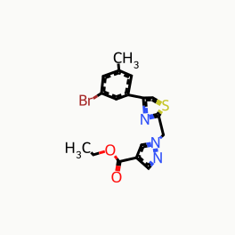 CCOC(=O)c1cnn(Cc2nc(-c3cc(C)cc(Br)c3)cs2)c1